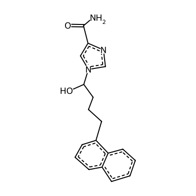 NC(=O)c1cn(C(O)CCCc2cccc3ccccc23)cn1